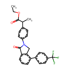 CCOC(=O)C(C)c1ccc(N2Cc3c(cccc3-c3ccc(C(F)(F)F)cc3)C2=O)cc1